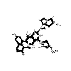 C#Cc1c(F)ccc2cc(O)cc(-c3ncc4c(-n5cc(COC)cn5)nc(OC[C@@]56CCCN5C[C@H](F)C6)nc4c3F)c12